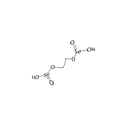 O=[Se](O)OCCO[Se](=O)O